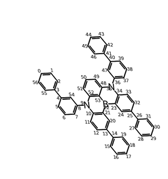 c1ccc(-c2cccc(N3c4ccc(-c5ccccc5)cc4B4c5cc(-c6ccccc6)ccc5N(c5cccc(-c6ccccc6)c5)c5cccc3c54)c2)cc1